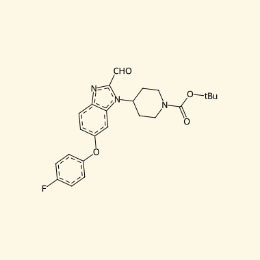 CC(C)(C)OC(=O)N1CCC(n2c(C=O)nc3ccc(Oc4ccc(F)cc4)cc32)CC1